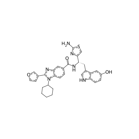 Nc1nc([C@H](Cc2c[nH]c3ccc(O)cc23)NC(=O)c2ccc3c(c2)nc(-c2ccoc2)n3C2CCCCC2)cs1